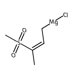 CC(=C[CH2][Mg][Cl])S(C)(=O)=O